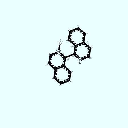 [O-][n+]1ccc2ccccc2c1-c1nccc2ccccc12